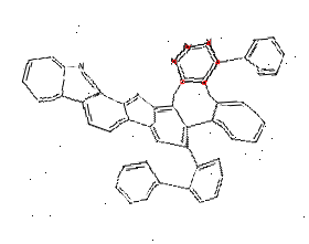 C1=c2c(ccc3c2=Nc2ccccc2-3)-c2cc(-c3ccccc3-c3ccccc3)c(-c3ccccc3-c3ccccc3-c3ccccc3)c(-c3ccnnn3)c21